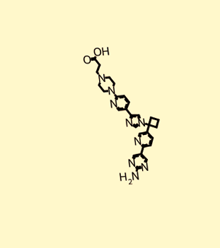 Nc1ncc(-c2ccc(C3(n4cnc(-c5ccc(N6CCN(CCC(=O)O)CC6)nc5)c4)CCC3)cn2)cn1